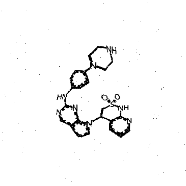 O=S1(=O)CC(n2ccc3cnc(Nc4ccc(N5CCNCC5)cc4)nc32)c2cccnc2N1